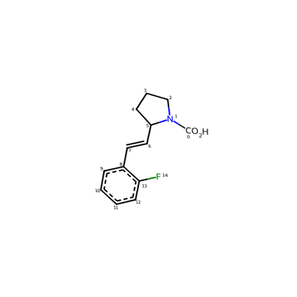 O=C(O)N1CCCC1C=Cc1ccccc1F